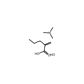 C=C(CCC)C(=O)O.CN(C)C.Cl